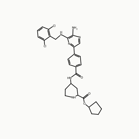 Nc1ncc(-c2ccc(C(=O)NC3CCNC(C(=O)OC4CCCC4)C3)cc2)nc1NCc1c(Cl)cccc1Cl